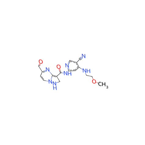 COCCNc1cc(NC(=O)C2=C3N=C(C=O)C=CN3NC2)ncc1C#N